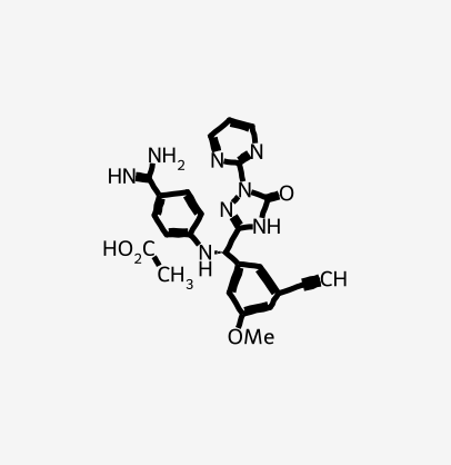 C#Cc1cc(OC)cc([C@H](Nc2ccc(C(=N)N)cc2)c2nn(-c3ncccn3)c(=O)[nH]2)c1.CC(=O)O